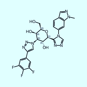 Cn1ncc2ccc(-n3cnnc3[C@@H]3O[C@H](CO)[C@H](O)[C@H](n4cc(-c5cc(F)c(F)c(F)c5)nn4)[C@H]3O)cc21